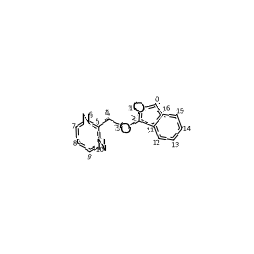 [c]1oc(OCc2ncccn2)c2ccccc12